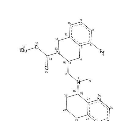 CN(C[C@H]1Cc2c(Br)cccc2CN1C(=O)OC(C)(C)C)[C@H]1CCCc2cccnc21